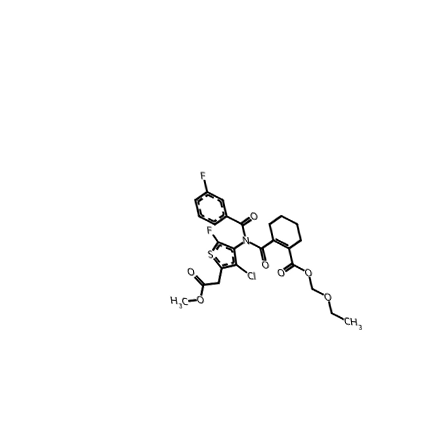 CCOCOC(=O)C1=C(C(=O)N(C(=O)c2cccc(F)c2)c2c(F)sc(CC(=O)OC)c2Cl)CCCC1